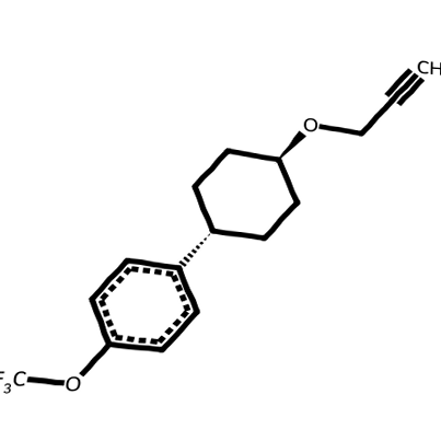 C#CCO[C@H]1CC[C@H](c2ccc(OC(F)(F)F)cc2)CC1